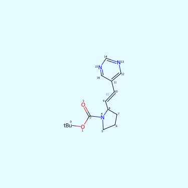 CC(C)(C)OC(=O)N1CCCC1/C=C/c1cncnc1